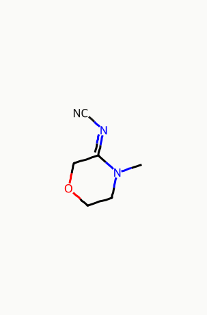 CN1CCOC/C1=N\C#N